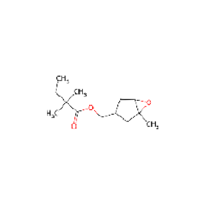 CCC(C)(C)C(=O)OCC1CC2OC2(C)C1